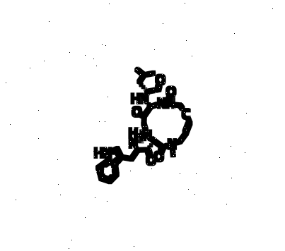 CC(C)C[C@H](C=O)N[C@@H]1NC(=O)CCC=CCN(C)C(=O)[C@H](C(=O)[C@@H](N)Cc2c[nH]c3ccccc23)NCC1=O